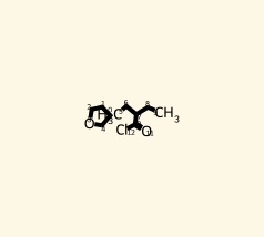 C1CCOC1.CCC(CC)C(=O)Cl